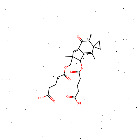 CC1=C2C(=CC(C)(COC(=O)CCCC(=O)O)C2OC(=O)CCCC(=O)O)C(=O)[C@@H](C)C12CC2